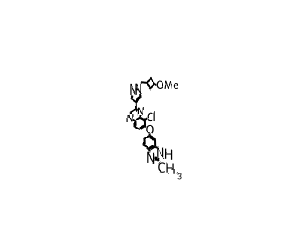 COC1CC(Cn2cc(-c3cnc4ccc(Oc5ccc6nc(C)[nH]c6c5)c(Cl)c4n3)cn2)C1